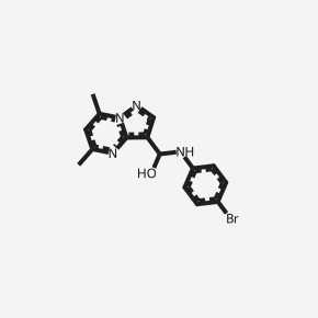 Cc1cc(C)n2ncc(C(O)Nc3ccc(Br)cc3)c2n1